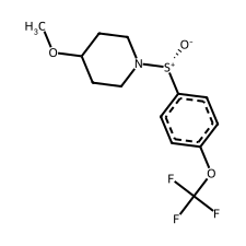 COC1CCN([S@+]([O-])c2ccc(OC(F)(F)F)cc2)CC1